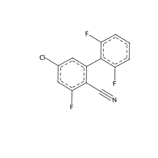 N#Cc1c(F)cc(Cl)cc1-c1c(F)cccc1F